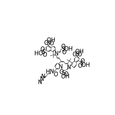 CC1(C)C(/C=C/C(=C/C=C2/N(CCS(=O)(=O)O)c3ccc4c(S(=O)(=O)O)cc(S(=O)(=O)O)cc4c3C2(C)C)c2ccc(C(=O)NCCCN=[N+]=[N-])cn2)=[N+](CCS(=O)(=O)O)c2ccc3c(S(=O)(=O)O)cc(S(=O)(=O)O)cc3c21